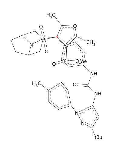 COC(=O)c1c(C)oc(C)c1S(=O)(=O)N1C2CCC1CC(Cc1ccc(NC(=O)Nc3cc(C(C)(C)C)nn3-c3ccc(C)cc3)cc1)C2